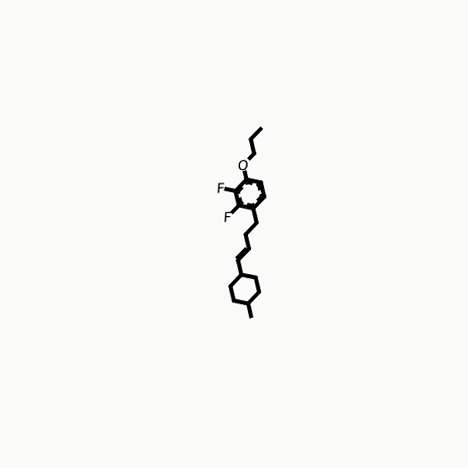 CCCOc1ccc(CC/C=C/C2CCC(C)CC2)c(F)c1F